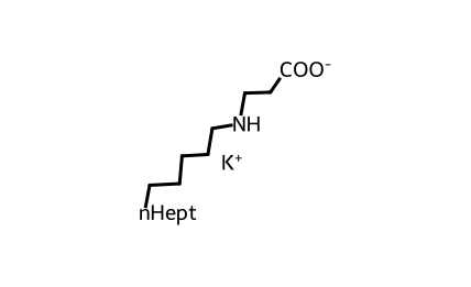 CCCCCCCCCCCCNCCC(=O)[O-].[K+]